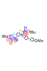 COc1ccc(-c2ccc(CN3C(=O)[C@@H](NC(=O)OC(C)(C)C)CSc4cc(F)c(-c5noc(C6(NC(=O)OC(C)(C)C)COC6)n5)cc43)cc2)cc1